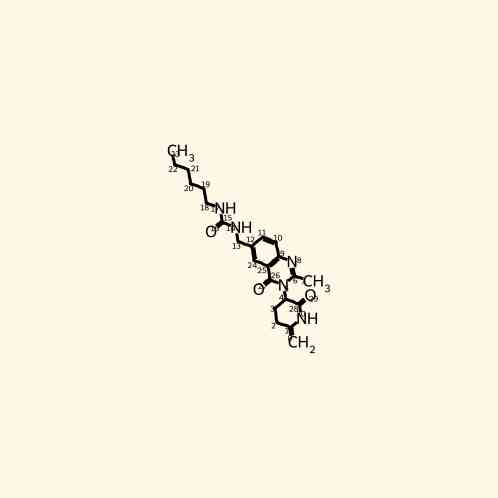 C=C1CCC(n2c(C)nc3ccc(CNC(=O)NCCCCCC)cc3c2=O)C(=O)N1